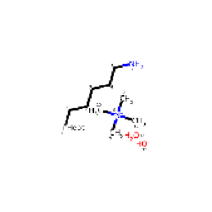 CCCCCCCCCCCCN.C[N+](C)(C)C.O.[OH-]